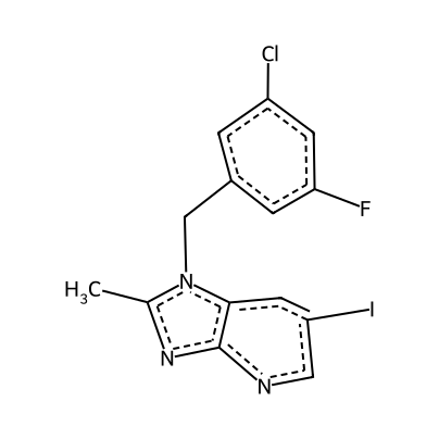 Cc1nc2ncc(I)cc2n1Cc1cc(F)cc(Cl)c1